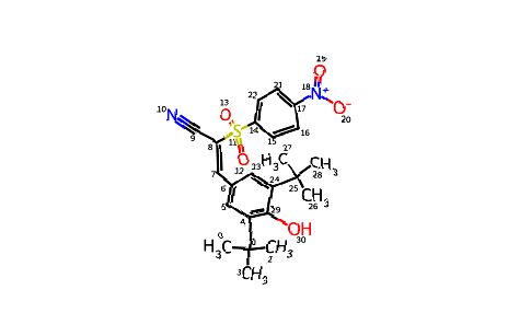 CC(C)(C)c1cc(/C=C(/C#N)S(=O)(=O)c2ccc([N+](=O)[O-])cc2)cc(C(C)(C)C)c1O